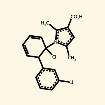 Cc1cc(C(=O)O)c(C)n1C1(Cl)C=CC=CC1c1cccc(Cl)c1